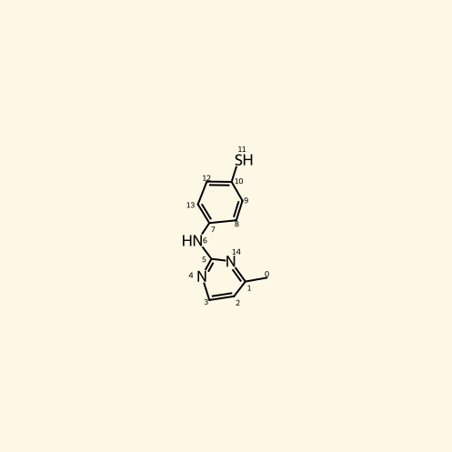 Cc1ccnc(Nc2ccc(S)cc2)n1